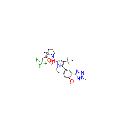 COc1cc2c(cc1-c1nnn(C)n1)-c1c(C(C)(C)C)cc(C(=O)N3CCC[C@@]3(C)[C@@H](O)CC(F)(F)F)n1CC2